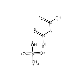 CS(=O)(=O)O.O=C(O)CC(=O)O